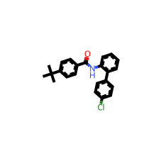 CC(C)(C)c1ccc(C(=O)Nc2ccccc2-c2ccc(Cl)cc2)cc1